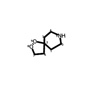 C1CC2(CCN1)CCOO2